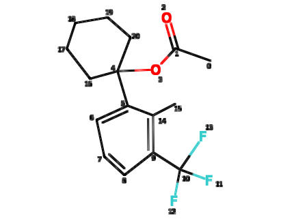 CC(=O)OC1(c2cccc(C(F)(F)F)c2C)CCCCC1